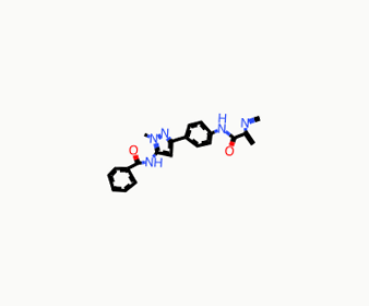 C=NC(=C)C(=O)Nc1ccc(-c2cc(NC(=O)c3ccccc3)n(C)n2)cc1